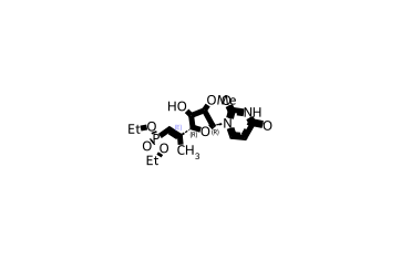 CCOP(=O)(/C=C(\C)[C@H]1O[C@@H](n2ccc(=O)[nH]c2=O)C(OC)C1O)OCC